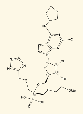 COCCOC[C@@](COCc1nnn[nH]1)(OC[C@H]1O[C@H](n2ncc3c(NC4CCCC4)nc(Cl)nc32)[C@H](O)[C@@H]1O)P(=O)(O)O